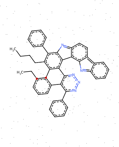 CCCCc1c(CCCC)c(-c2nnnc(-c3ccccc3)c2-c2ccccc2)c2c(c1-c1ccccc1)N=c1ccc3c(c1-2)N=c1ccccc1=3